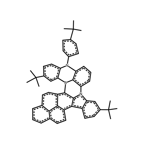 CC(C)(C)c1ccc(N2c3ccc(C(C)(C)C)cc3B3c4c2cccc4-n2c4cc(C(C)(C)C)ccc4c4c5ccc6cccc7ccc(c3c42)c5c76)cc1